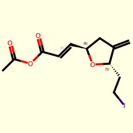 C=C1C[C@H](/C=C/C(=O)OC(C)=O)O[C@H]1CCI